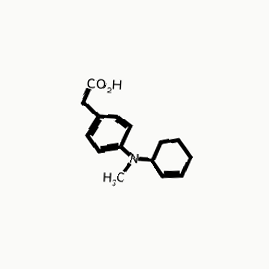 CN(c1ccc(CC(=O)O)cc1)C1C=CCCC1